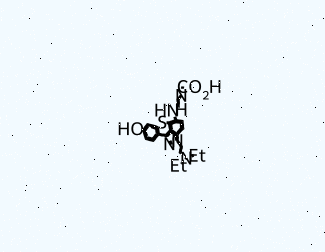 CCN(CC)CCn1nc2c3c(c(NCCNC(=O)O)ccc31)Sc1cc(O)ccc1-2